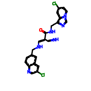 N=C/C(=C\NCc1ccc2ncc(Cl)cc2c1)C(=O)NCc1ncn2ccc(Cl)cc12